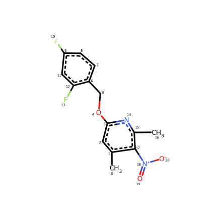 Cc1cc(OCc2ccc(F)cc2F)nc(C)c1[N+](=O)[O-]